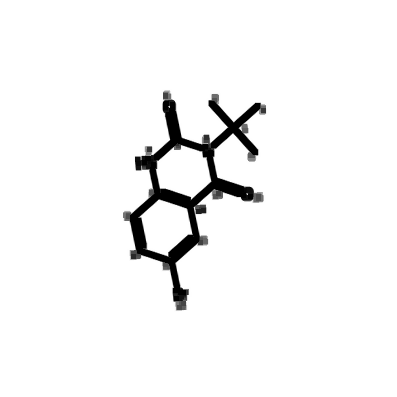 CC(C)(C)n1c(=O)[nH]c2ccc(Br)cc2c1=O